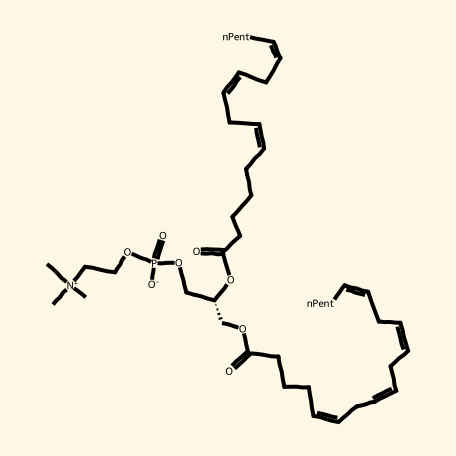 CCCCC/C=C\C/C=C\C/C=C\C/C=C\CCCC(=O)OC[C@H](COP(=O)([O-])OCC[N+](C)(C)C)OC(=O)CCCC/C=C\C/C=C\C/C=C\CCCCC